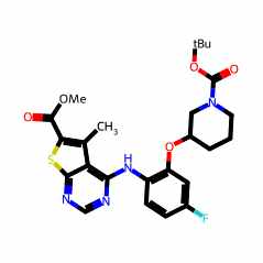 COC(=O)c1sc2ncnc(Nc3ccc(F)cc3OC3CCCN(C(=O)OC(C)(C)C)C3)c2c1C